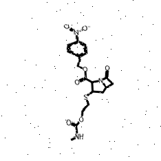 CNC(=O)OCCSC1CC2CC(=O)N2C1C(=O)OCc1ccc([N+](=O)[O-])cc1